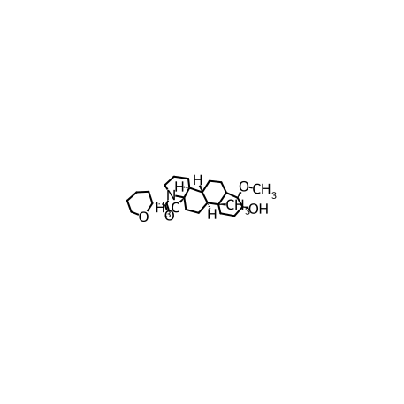 CO[C@@H]1C2CC[C@@H]3[C@H](CC[C@@]4(C)[C@H]3CCCN4C(=O)[C@H]3CCCCO3)[C@@]2(C)CC[C@@H]1O